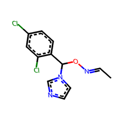 CC=NOC(c1ccc(Cl)cc1Cl)n1ccnc1